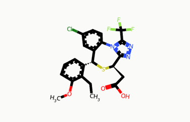 CCc1c(OC)cccc1[C@H]1S[C@H](CC(=O)O)c2nnc(C(F)(F)F)n2-c2ccc(Cl)cc21